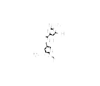 COc1cc(CNC(=O)c2cc(C)nc(NC(C)=O)n2)cnc1OCF